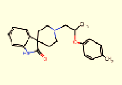 Cc1ccc(OC(C)CN2CCC3(CC2)C(=O)Nc2ccccc23)cc1